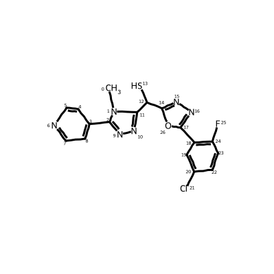 Cn1c(-c2ccncc2)nnc1C(S)c1nnc(-c2cc(Cl)ccc2F)o1